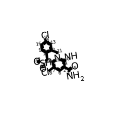 N=c1c(C(N)=O)cc(Cl)cn1Cc1cc(Cl)ccc1C[SH](=O)=O